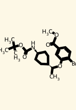 COC(=O)c1ccc(Br)c(OC(C)[C@H]2CC[C@H](NC(=O)OC(C)(C)C)CC2)c1